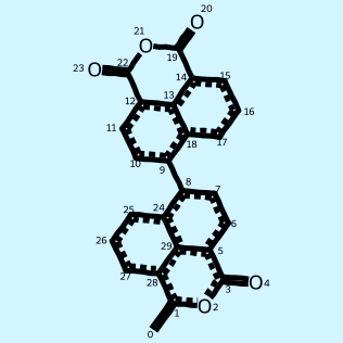 C=c1oc(=O)c2ccc(-c3ccc4c5c(cccc35)C(=O)OC4=O)c3cccc1c32